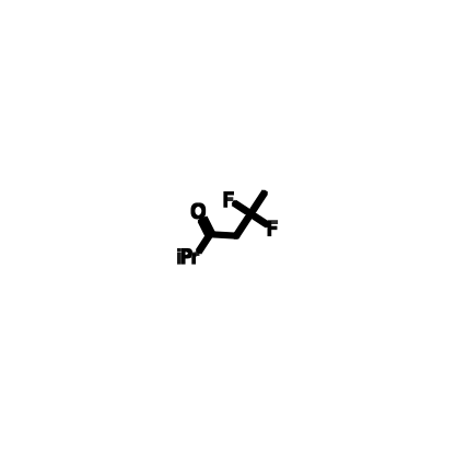 CC(C)C(=O)CC(C)(F)F